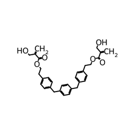 C=C(CO)C(=O)OCCc1ccc(Cc2ccc(Cc3ccc(CCOC(=O)C(=C)CO)cc3)cc2)cc1